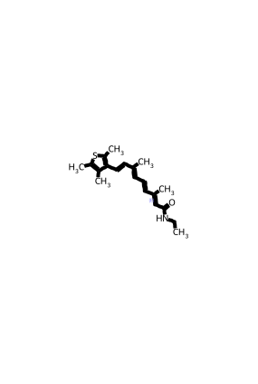 CCNC(=O)/C=C(\C)C=CC=C(C)C=Cc1c(C)sc(C)c1C